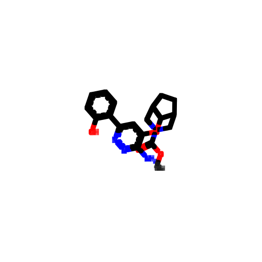 CC(C)(C)OC(=O)N1CC2CCC(C1)C2Oc1cc(-c2ccccc2O)nnc1N